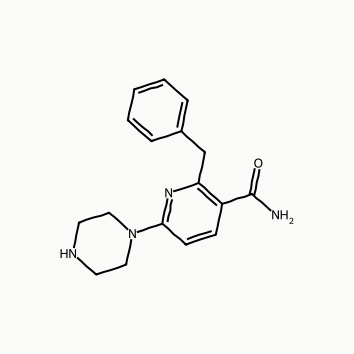 NC(=O)c1ccc(N2CCNCC2)nc1Cc1ccccc1